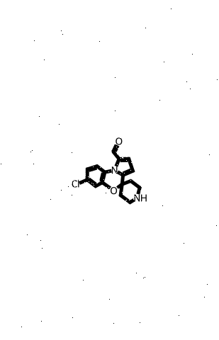 O=Cc1ccc2n1-c1ccc(Cl)cc1OC21CCNCC1